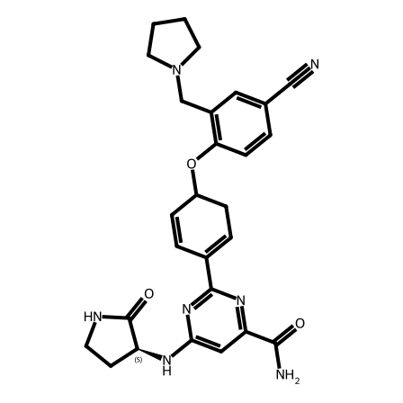 N#Cc1ccc(OC2C=CC(c3nc(N[C@H]4CCNC4=O)cc(C(N)=O)n3)=CC2)c(CN2CCCC2)c1